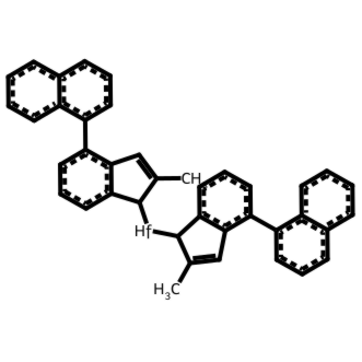 CC1=Cc2c(-c3cccc4ccccc34)cccc2[CH]1[Hf][CH]1C(C)=Cc2c(-c3cccc4ccccc34)cccc21